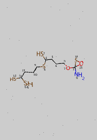 NC1(OCCCC(S)SCCCC(S)S)OS1